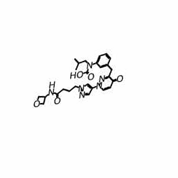 CC(C)CN(C(=O)O)c1cccc(Cc2nn(-c3cnn(CCCC(=O)NC4COC4)c3)ccc2=O)c1